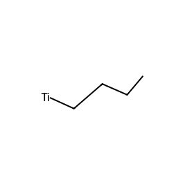 CCC[CH2][Ti]